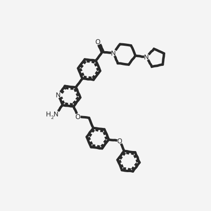 Nc1ncc(-c2ccc(C(=O)N3CCC(N4CCCC4)CC3)cc2)cc1OCc1cccc(Oc2ccccc2)c1